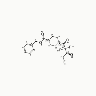 O=C(OCc1ccccc1)N1CCN(C(=O)C(F)(F)C(=O)CF)CC1